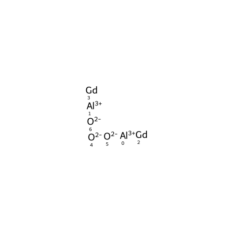 [Al+3].[Al+3].[Gd].[Gd].[O-2].[O-2].[O-2]